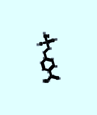 O=[N+](O)c1ccc(CSP(=O)([O-])O)cc1